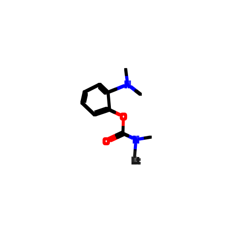 CCN(C)C(=O)Oc1ccccc1N(C)C